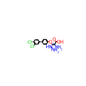 NN/C(Oc1ccc(-c2ccc(Cl)c(Cl)c2)cc1)=C(\N)C(=O)O